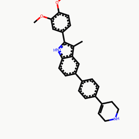 COc1ccc(-c2[nH]c3ccc(-c4ccc(C5=CCNCC5)cc4)cc3c2C)cc1OC